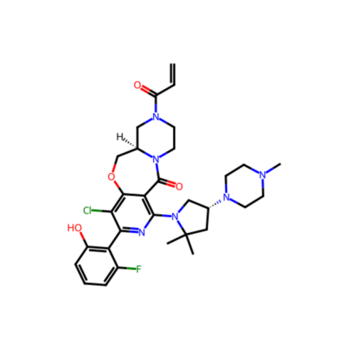 C=CC(=O)N1CCN2C(=O)c3c(N4C[C@H](N5CCN(C)CC5)CC4(C)C)nc(-c4c(O)cccc4F)c(Cl)c3OC[C@H]2C1